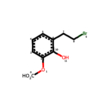 O=C(O)Oc1cccc(CCBr)c1O